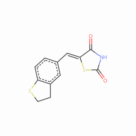 O=C1NC(=O)C(=Cc2ccc3c(c2)CCS3)S1